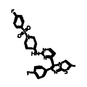 Cc1cn2c(-c3ccnc(NC4CCN(S(=O)(=O)c5ccc(F)cc5)CC4)n3)c(-c3ccc(F)cc3)nc2s1